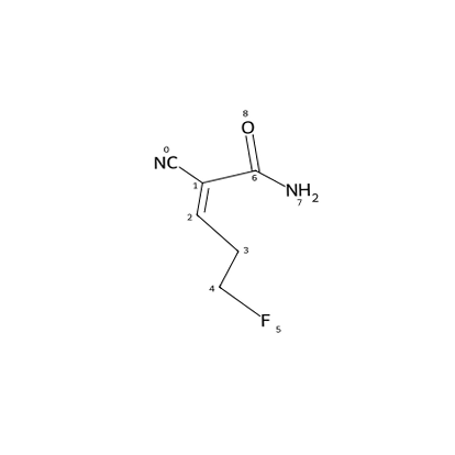 N#CC(=CCCF)C(N)=O